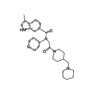 Cc1c[nH]c2cc(C(=O)N(CC(=O)N3CCC(CN4CCCCC4)CC3)c3ccncc3)ccc12